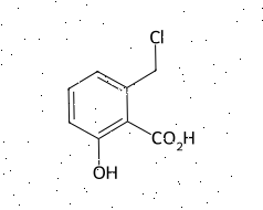 O=C(O)c1c(O)cccc1CCl